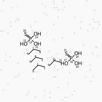 CCC.CCC.CCC.CCC.OP(O)(O)=S.OP(O)(O)=S